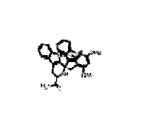 COc1cc(OC)c(C[C@@]2(c3cn(C)c4ccccc34)N[C@@H](C(N)=O)Cc3c2[nH]c2ccccc32)c(OC)c1